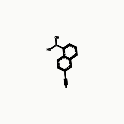 N#Cc1ccc2c(B(O)O)cccc2c1